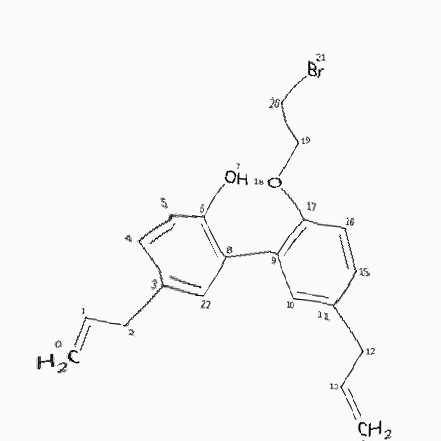 C=CCc1ccc(O)c(-c2cc(CC=C)ccc2OCCBr)c1